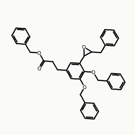 O=C(CCc1cc(OCc2ccccc2)c(OCc2ccccc2)c(C2OC2Cc2ccccc2)c1)OCc1ccccc1